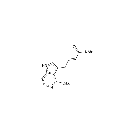 CNC(=O)/C=C/Cc1c[nH]c2ncnc(OCC(C)C)c12